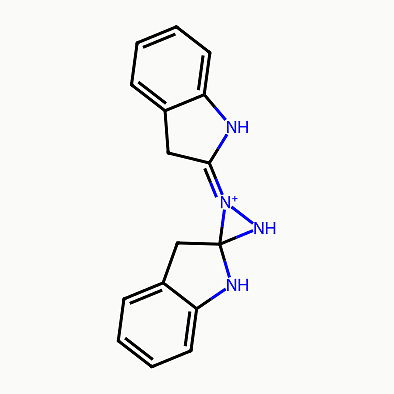 c1ccc2c(c1)CC(=[N+]1NC13Cc1ccccc1N3)N2